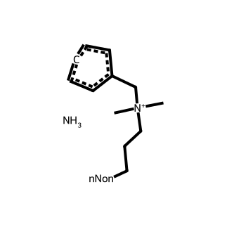 CCCCCCCCCCCC[N+](C)(C)Cc1ccccc1.N